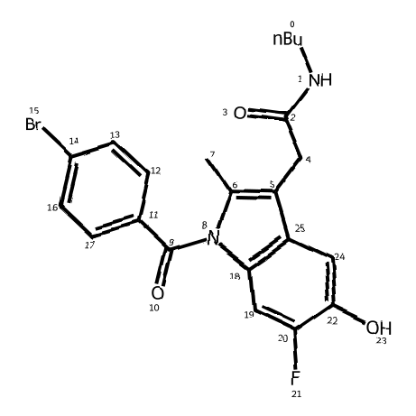 CCCCNC(=O)Cc1c(C)n(C(=O)c2ccc(Br)cc2)c2cc(F)c(O)cc12